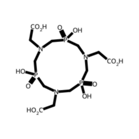 O=C(O)CN1CP(=O)(O)CN(CC(=O)O)CP(=O)(O)CN(CC(=O)O)CP(=O)(O)C1